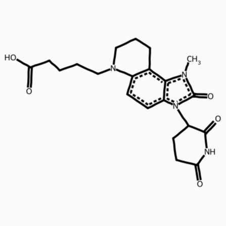 Cn1c(=O)n(C2CCC(=O)NC2=O)c2ccc3c(c21)CCCN3CCCCC(=O)O